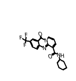 O=C(NC1CCCCC1)c1cccn2c(=O)c3cc(C(F)(F)F)ccc3nc12